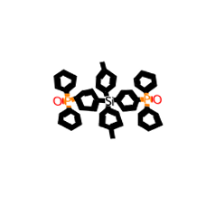 Cc1ccc([Si](c2ccc(C)cc2)(c2ccc(P(=O)(c3ccccc3)c3ccccc3)cc2)c2ccc(P(=O)(c3ccccc3)c3ccccc3)cc2)cc1